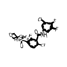 CC1(NS(=O)(=O)c2ccc(Cl)c(C(=O)Nc3cc(F)c(F)c(Cl)c3)c2F)COC1